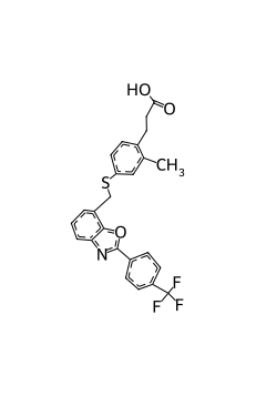 Cc1cc(SCc2cccc3nc(-c4ccc(C(F)(F)F)cc4)oc23)ccc1CCC(=O)O